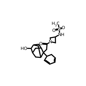 CS(=O)(=O)NC1CN(C(=O)CC2(C3C=CC=CC3)C3CC4CC2CC(C3)C4O)C1